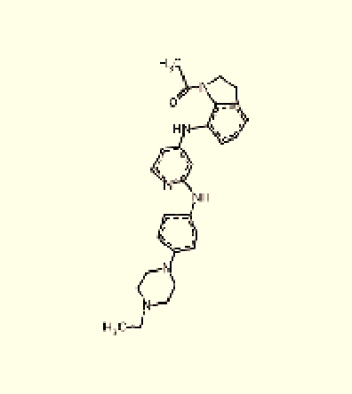 CCN1CCN(c2ccc(Nc3cc(Nc4cccc5c4N(C(C)=O)CC5)ccn3)cc2)CC1